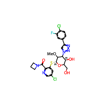 COC1C(n2cc(-c3ccc(Cl)c(F)c3)nn2)[C@@H](O)C(CO)O[C@@H]1Sc1cc(Cl)cnc1C(=O)N1CCC1